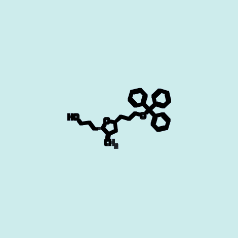 C=C1C[C@H](CCCOC(c2ccccc2)(c2ccccc2)c2ccccc2)O[C@H]1CCCO